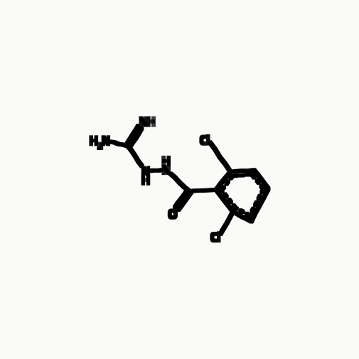 N=C(N)NNC(=O)c1c(Cl)cccc1Cl